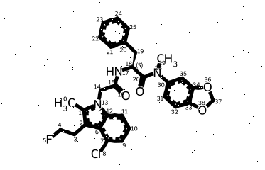 Cc1c(CCF)c2c(Cl)cccc2n1CC(=O)N[C@@H](Cc1ccccc1)C(=O)N(C)c1ccc2c(c1)OCO2